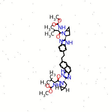 COC(=O)N[C@H](C(=O)N1C2CC2C[C@H]1c1nc2ccc(CCc3ccc4c(ccc5nc([C@@H]6C[C@H]7C[C@H]7N6C(=O)[C@@H](NC(=O)OC)C(C)C)[nH]c54)c3)cc2[nH]1)C(C)C